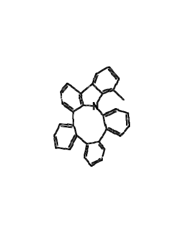 Cc1cccc2c3cccc4c5ccccc5c5ccccc5c5ccccc5n(c12)c43